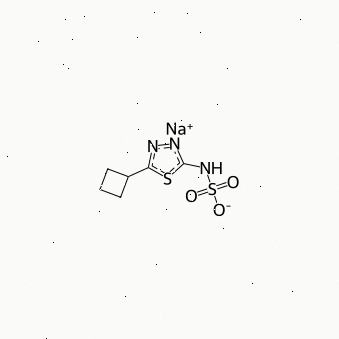 O=S(=O)([O-])Nc1nnc(C2CCC2)s1.[Na+]